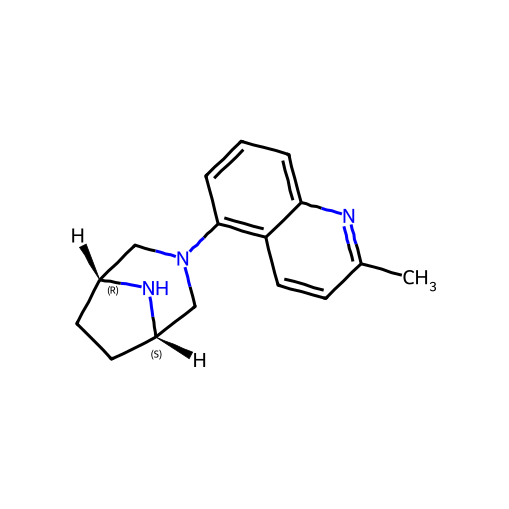 Cc1ccc2c(N3C[C@H]4CC[C@@H](C3)N4)cccc2n1